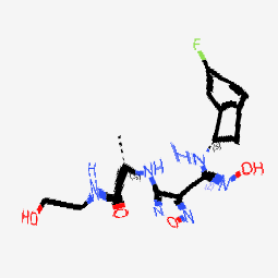 C[C@H](Nc1nonc1/C(=N/O)N[C@H]1Cc2ccc(F)cc21)C(=O)NCCO